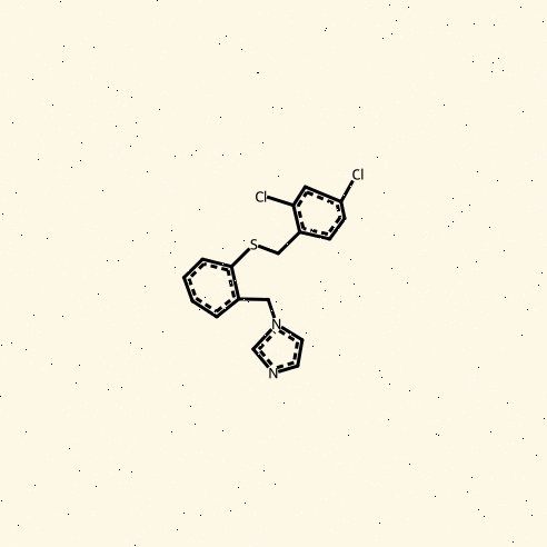 Clc1ccc(CSc2ccccc2Cn2ccnc2)c(Cl)c1